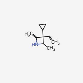 C=CC1(C2CC2)C(=C)NC1C